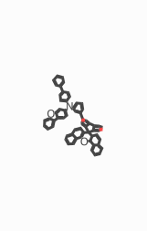 C1=CC2C(Oc3c(ccc4ccccc34)C23c2ccccc2-c2cc(-c4cccc(N(c5ccc(-c6ccccc6)cc5)c5ccc6c(c5)oc5ccccc56)c4)ccc23)c2ccccc21